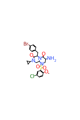 COc1ccc(Cl)cc1S(=O)(=O)N1CC(N)C(=O)N2C(Cc3ccc(Br)cc3)C(=O)N(C3CC3)CC21